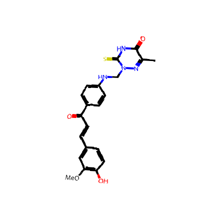 COc1cc(/C=C/C(=O)c2ccc(NCn3nc(C)c(=O)[nH]c3=S)cc2)ccc1O